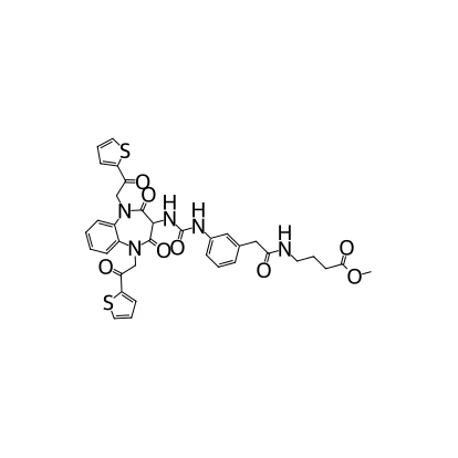 COC(=O)CCCNC(=O)Cc1cccc(NC(=O)NC2C(=O)N(CC(=O)c3cccs3)c3ccccc3N(CC(=O)c3cccs3)C2=O)c1